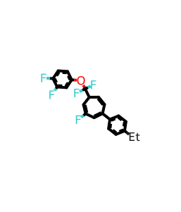 CCc1ccc(C2=CC(F)=CC(C(F)(F)Oc3ccc(F)c(F)c3)C=C2)cc1